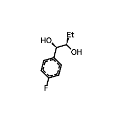 CC[C@@H](O)[C@H](O)c1ccc(F)cc1